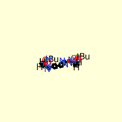 CC(C)(C)OC(=O)N1[C@@H]2C[C@@H]2C[C@H]1c1nc(-c2cnc3cc(-c4ccc(-c5cnc([C@@H]6C[C@H]7C[C@H]7N6C(=O)OC(C)(C)C)[nH]5)cc4)ccc3n2)c[nH]1